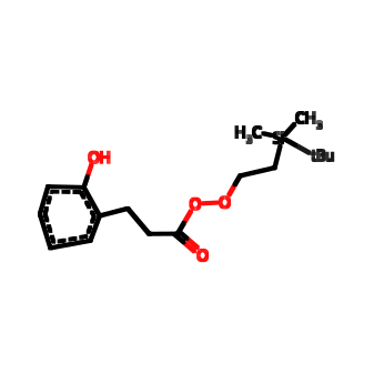 CC(C)(C)[Si](C)(C)CCOOC(=O)CCc1ccccc1O